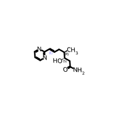 C[C@H](C/C=C/c1ncccn1)[C@@H](O)CC(N)=O